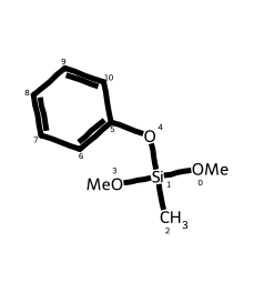 CO[Si](C)(OC)Oc1ccccc1